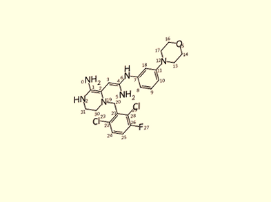 NC1=C(/C=C(\N)Nc2cccc(N3CCOCC3)c2)N(Cc2c(Cl)ccc(F)c2Cl)CCN1